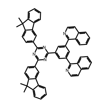 CC1(C)c2ccccc2-c2cc(-c3nc(-c4cc(-c5nccc6ccccc56)cc(-c5nccc6ccccc56)c4)nc(-c4ccc5c(c4)-c4ccccc4C5(C)C)n3)ccc21